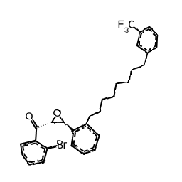 O=C(c1ccccc1Br)[C@@H]1O[C@H]1c1ccccc1CCCCCCCCc1cccc(C(F)(F)F)c1